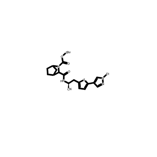 CCn1cc(-c2ccc(C[C@@H](C#N)NC(=O)C3C4CCC(C4)N3C(=O)OC(C)(C)C)s2)cn1